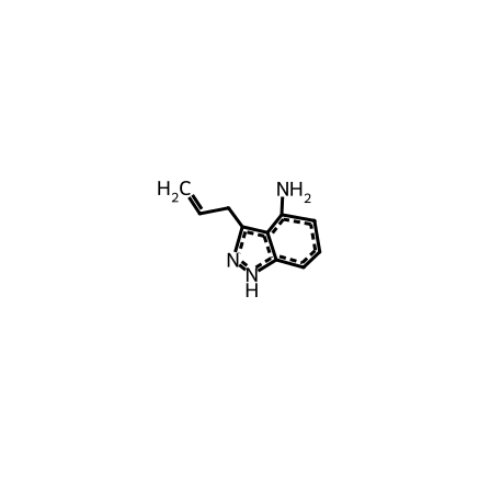 C=CCc1n[nH]c2cccc(N)c12